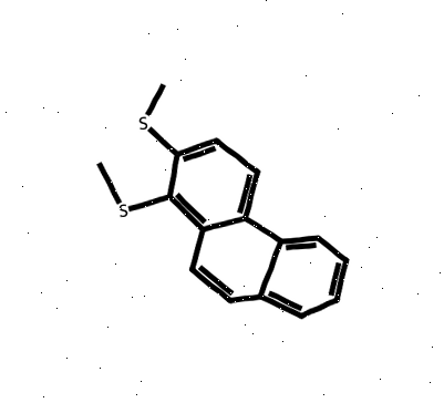 CSc1ccc2c(ccc3ccccc32)c1SC